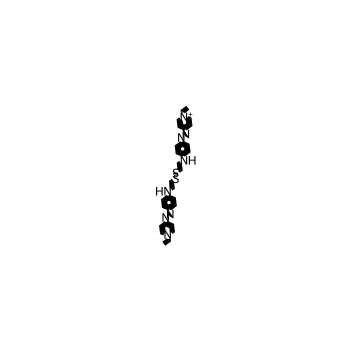 CCN1C=CC(N=Nc2ccc(NCCSSCCNc3ccc(N=Nc4cc[n+](CC)cc4)cc3)cc2)=CC1